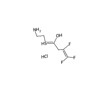 Cl.NCC[SH]=C(O)CC(F)=C(F)F